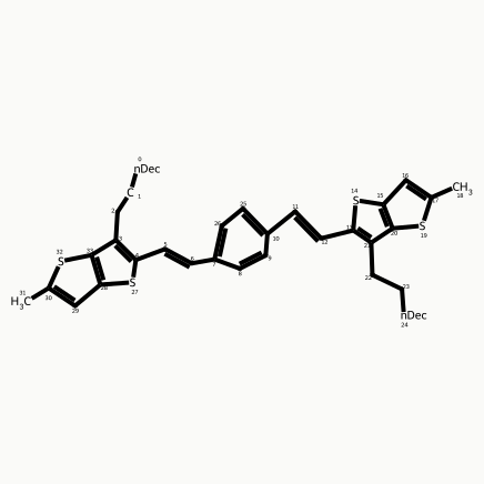 CCCCCCCCCCCCc1c(/C=C/c2ccc(/C=C/c3sc4cc(C)sc4c3CCCCCCCCCCCC)cc2)sc2cc(C)sc12